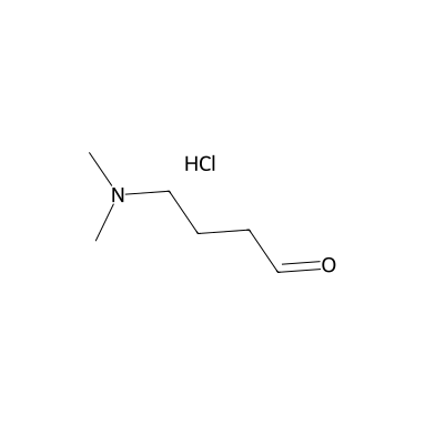 CN(C)CCCC=O.Cl